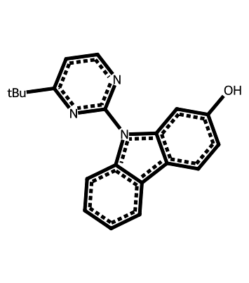 CC(C)(C)c1ccnc(-n2c3ccccc3c3ccc(O)cc32)n1